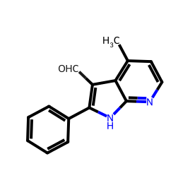 Cc1ccnc2[nH]c(-c3ccccc3)c(C=O)c12